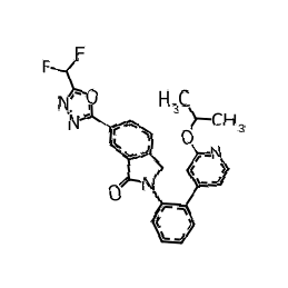 CC(C)Oc1cc(-c2ccccc2N2Cc3ccc(-c4nnc(C(F)F)o4)cc3C2=O)ccn1